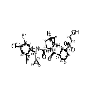 O=C(N[C@@H](c1cc(F)c(Cl)cc1F)C1CC1)[C@H]1C[C@H]2C[C@H]2N1C(=O)c1cccc(S(=O)(=O)CCO)c1